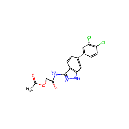 CC(=O)OCC(=O)Nc1n[nH]c2cc(-c3ccc(Cl)c(Cl)c3)ccc12